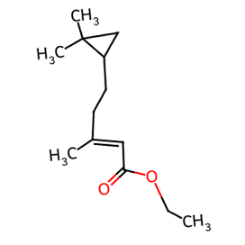 CCOC(=O)C=C(C)CCC1CC1(C)C